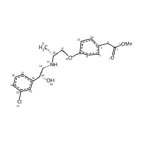 COC(=O)Cc1ccc(OC[C@@H](C)NC[C@H](O)c2cccc(Cl)c2)cc1